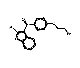 CC(C)c1oc2ccccc2c1C(=O)c1ccc(OCCBr)cc1